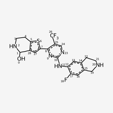 OC1NCCc2sc(-c3nc(Nc4cc5c(cc4F)CNCC5)ncc3C(F)(F)F)cc21